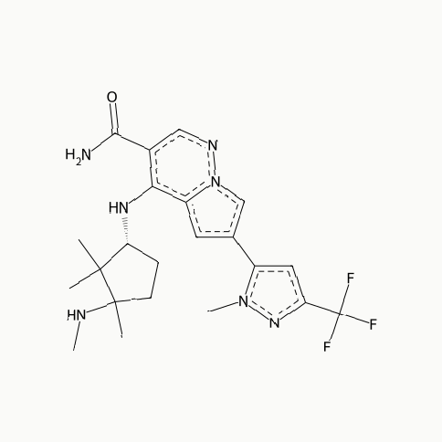 CNC1(C)CC[C@@H](Nc2c(C(N)=O)cnn3cc(-c4cc(C(F)(F)F)nn4C)cc23)C1(C)C